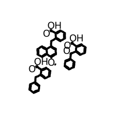 COc1ccc(Cc2ccccc2C(=O)O)c2ccccc12.O=C(O)c1ccccc1C(=O)c1ccccc1.O=C(O)c1ccccc1Cc1ccccc1